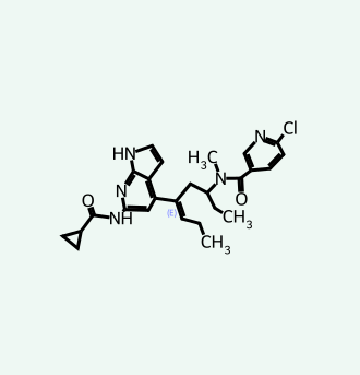 CC/C=C(\CC(CC)N(C)C(=O)c1ccc(Cl)nc1)c1cc(NC(=O)C2CC2)nc2[nH]ccc12